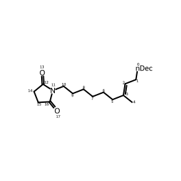 CCCCCCCCCCCC=C(C)CCCCCCN1C(=O)CCC1=O